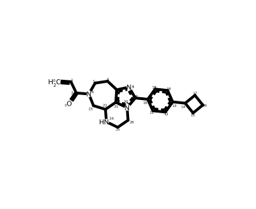 C=CC(=O)N1CCc2nc(-c3ccc(C4CCC4)cc3)n3c2C(C1)NCC3